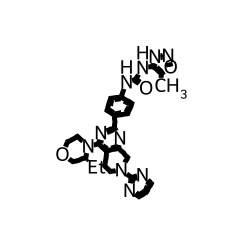 CC[C@H]1COCCN1c1nc(-c2ccc(NC(=O)Nc3nnoc3C)cc2)nc2c1CCN(c1ncccn1)C2